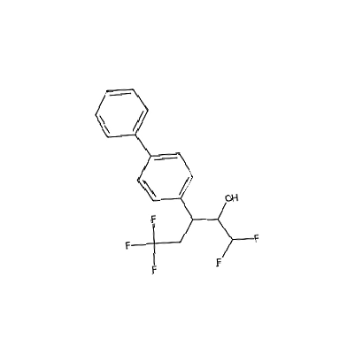 OC(C(F)F)C(CC(F)(F)F)c1ccc(-c2ccccc2)cc1